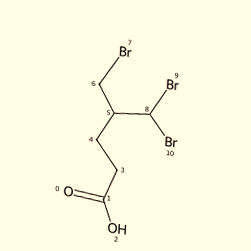 O=C(O)CCC(CBr)C(Br)Br